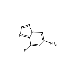 Nc1cc(F)c2ncnn2c1